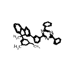 CCC1CC(C2(C)c3ccccc3-c3ccc(-c4cccc(-c5nc(-c6ccccc6)nc(-c6ccccc6)n5)c4)cc32)=CC(C)C1